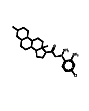 CC1CCC2C(CCC3C2CCC2(C)C(C(=O)CN(N)c4ccc(Cl)cc4N)CCC32)C1